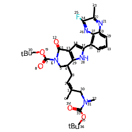 C/C(=C/CC1CN(C(=O)OC(C)(C)C)C(=O)c2cc(-c3cccc4nc(C)c(F)nc34)[nH]c21)CN(C)C(=O)OC(C)(C)C